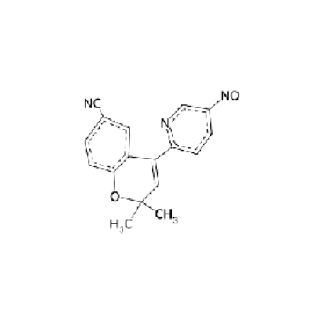 CC1(C)C=C(c2ccc(N=O)cn2)c2cc(C#N)ccc2O1